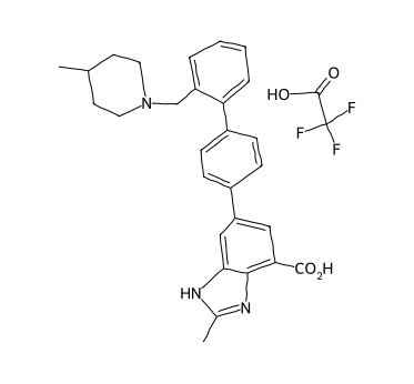 Cc1nc2c(C(=O)O)cc(-c3ccc(-c4ccccc4CN4CCC(C)CC4)cc3)cc2[nH]1.O=C(O)C(F)(F)F